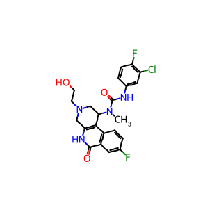 CN(C(=O)Nc1ccc(F)c(Cl)c1)C1CN(CCO)Cc2[nH]c(=O)c3cc(F)ccc3c21